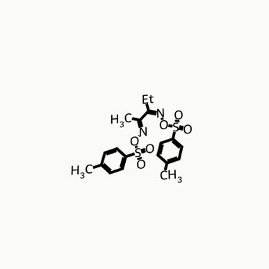 CCC(=NOS(=O)(=O)c1ccc(C)cc1)C(C)=NOS(=O)(=O)c1ccc(C)cc1